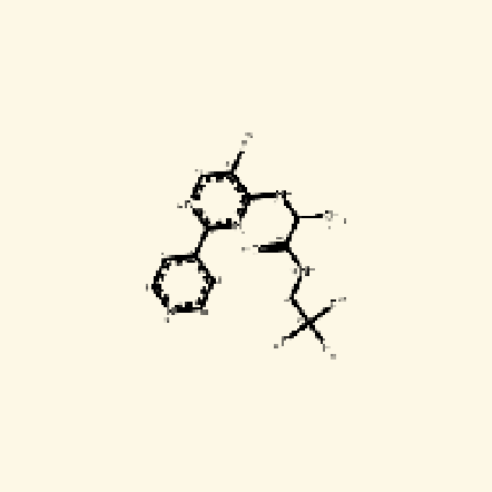 C[C@H](Nc1nc(-c2ccncc2)ncc1F)C(=O)NCC(F)(F)F